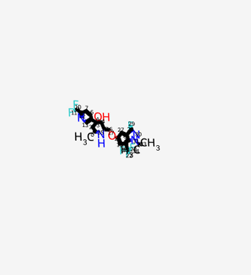 CC1CC(O)(c2ccc(C(F)F)nc2)CC(COc2cc(C(F)(F)F)c3c(c2)c(F)nn3C(C)C)N1